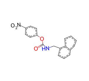 O=C(NCc1cccc2ccccc12)Oc1ccc([N+](=O)[O-])cc1